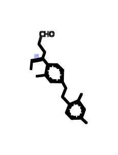 C/C=C(/CCC=O)c1ccc(CCc2ccc(C)cc2C)cc1C